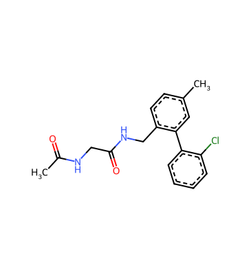 CC(=O)NCC(=O)NCc1ccc(C)cc1-c1ccccc1Cl